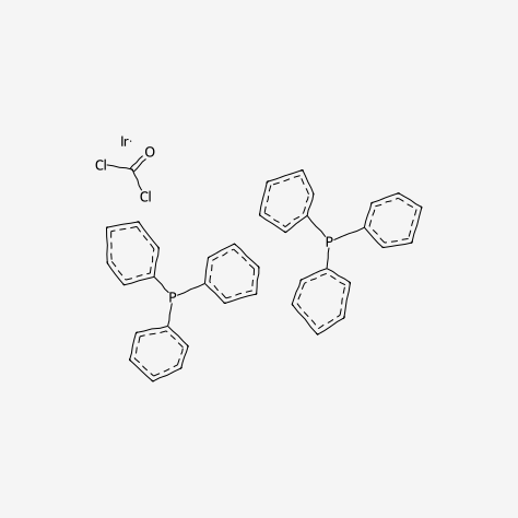 O=C(Cl)Cl.[Ir].c1ccc(P(c2ccccc2)c2ccccc2)cc1.c1ccc(P(c2ccccc2)c2ccccc2)cc1